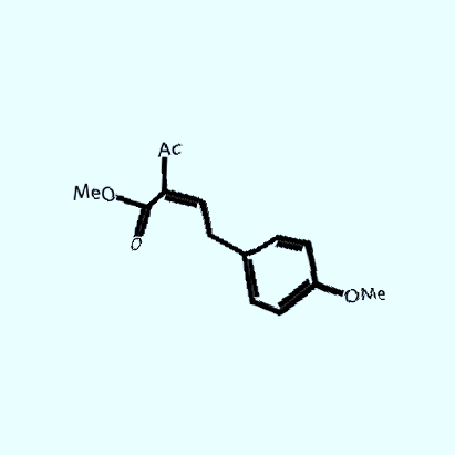 COC(=O)C(=CCc1ccc(OC)cc1)C(C)=O